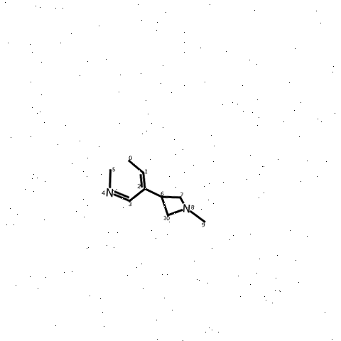 C/C=C(\C=N/C)C1CN(C)C1